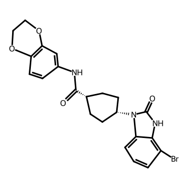 O=c1[nH]c2c(Br)cccc2n1[C@H]1CC[C@@H](C(=O)Nc2ccc3c(c2)OCCO3)CC1